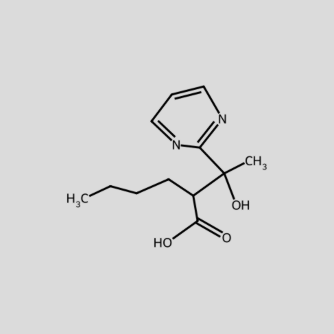 CCCCC(C(=O)O)C(C)(O)c1ncccn1